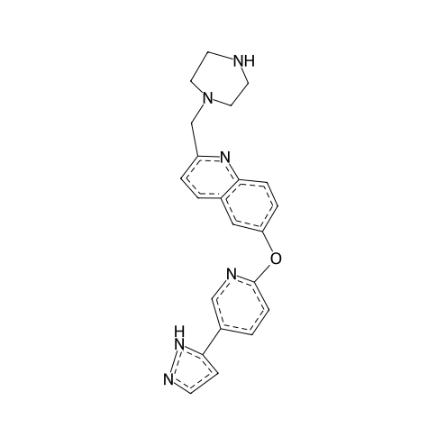 c1cc(-c2ccc(Oc3ccc4nc(CN5CCNCC5)ccc4c3)nc2)[nH]n1